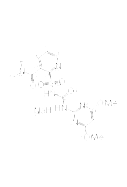 COc1cc(OC)nc(NC(=O)NS(=O)(=O)c2ncccc2C(=O)N(C)C)n1.[NaH]